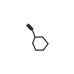 [C]#CC1CCCCC1